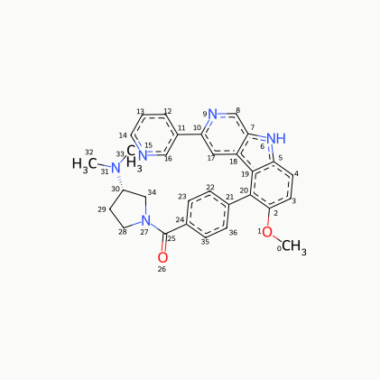 COc1ccc2[nH]c3cnc(-c4cccnc4)cc3c2c1-c1ccc(C(=O)N2CC[C@H](N(C)C)C2)cc1